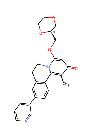 Cc1c2n(c(OC[C@@H]3COCCO3)cc1=O)CCc1cc(-c3cccnc3)ccc1-2